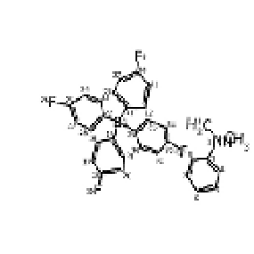 C[NH+](C)c1ccccc1.Fc1ccc([B-](c2ccc(F)cc2)(c2ccc(F)cc2)c2ccc(F)cc2)cc1